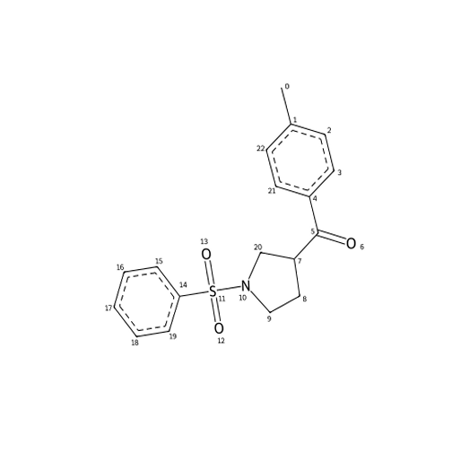 Cc1ccc(C(=O)C2CCN(S(=O)(=O)c3ccccc3)C2)cc1